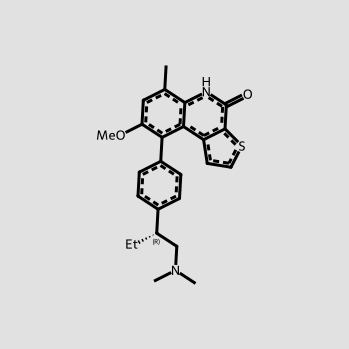 CC[C@@H](CN(C)C)c1ccc(-c2c(OC)cc(C)c3[nH]c(=O)c4sccc4c23)cc1